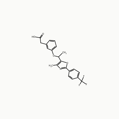 Cc1nc(-c2ccc(C(F)(F)F)cc2)oc1C(C)Oc1cccc(CC(=O)O)c1